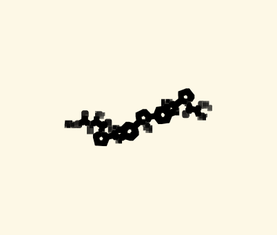 [2H]N1C(c2ccc3nc(C4CCCN4C(=O)C(C)C(C)C)[nH]c3c2)CCC1c1ccc2nc(C3CCCN3C(=O)C(NC(=O)OC)C(C)C)[nH]c2c1